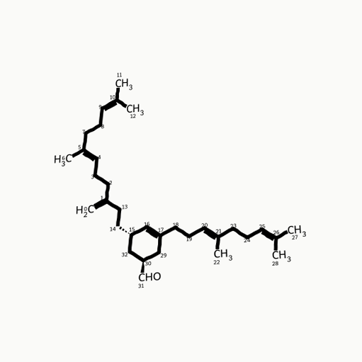 C=C(CC/C=C(\C)CCC=C(C)C)CC[C@@H]1C=C(CC/C=C(\C)CCC=C(C)C)C[C@@H](C=O)C1